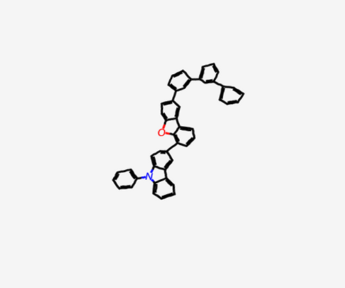 c1ccc(-c2cccc(-c3cccc(-c4ccc5oc6c(-c7ccc8c(c7)c7ccccc7n8-c7ccccc7)cccc6c5c4)c3)c2)cc1